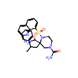 CC(CC1(C(N)=O)CN(C(N)=O)CCN1S(=O)(=O)c1cccc2cccnc12)c1ccccc1